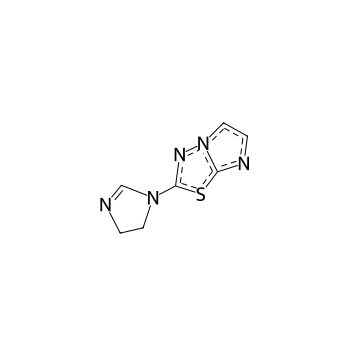 C1=NCCN1c1nn2ccnc2s1